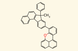 CC1(c2ccccc2)c2cc(-c3cccc4c3OC3=CC=CC5C=CC=C4C35)ccc2-c2c1ccc1ccccc21